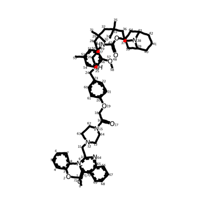 CCOc1ccccc1-n1c(CN2CCN(C(=O)COc3ccc(CNCCCC(C)(C)CC(C)(C)CCN4C5CCCC4CC(OC(=O)Nc4cc(C)ccc4OC)C5)cc3)CC2)nc2ccccc2c1=O